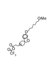 COCCCCCCCOc1ccc2c(c1)OCC21CCN(CCC(=O)OC(=O)C(F)(F)F)CC1